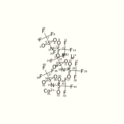 O=S(=O)([N-]S(=O)(=O)C(F)(F)F)C(F)(F)F.O=S(=O)([N-]S(=O)(=O)C(F)(F)F)C(F)(F)F.O=S(=O)([N-]S(=O)(=O)C(F)(F)F)C(F)(F)F.[Co+2].[Li+]